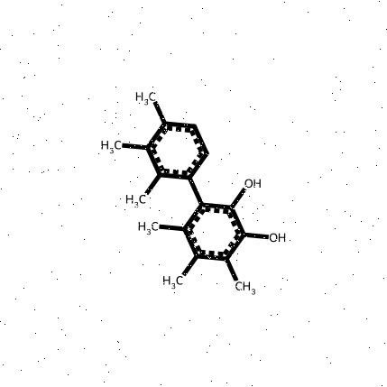 Cc1ccc(-c2c(C)c(C)c(C)c(O)c2O)c(C)c1C